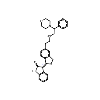 O=C1Nc2ccccc2/C1=C1\OCc2cc(CCNCC(c3cccnc3)N3CCOCC3)ccc21